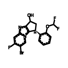 OC1C[C@H](c2ccccc2OC(F)F)c2c1nc1cc(F)c(Br)cn21